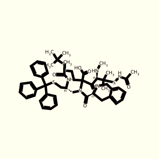 CN[C@H](C(=O)C(CCSC)(C(=O)O)N(C[C@H](CSC(c1ccccc1)(c1ccccc1)c1ccccc1)NC(=O)OC(C)(C)C)C(=O)[C@@H]1Cc2ccccc2CN1)C(C)(C)SNC(C)=O